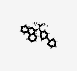 CC(C)N(c1ccc(-c2ccccc2)cc1)c1cc2ccccc2c2ccccc12